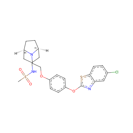 CS(=O)(=O)NC1C[C@H]2CC[C@@H](C1)N2CCOc1ccc(Oc2nc3cc(Cl)ccc3s2)cc1